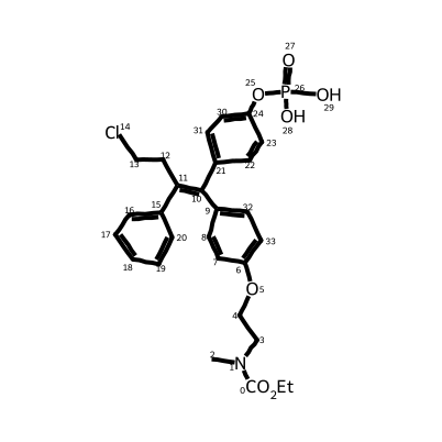 CCOC(=O)N(C)CCOc1ccc(/C(=C(/CCCl)c2ccccc2)c2ccc(OP(=O)(O)O)cc2)cc1